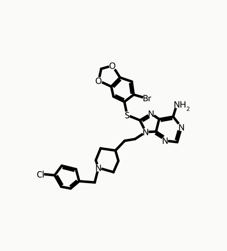 Nc1ncnc2c1nc(Sc1cc3c(cc1Br)OCO3)n2CCC1CCN(Cc2ccc(Cl)cc2)CC1